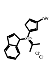 CCCC1=CC[C]([Zr+2](=[C](C)C)[CH]2C=Cc3ccccc32)=C1.[Cl-].[Cl-]